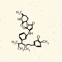 C=C1CCC(N2C(=O)C=C(Nc3cccc(C(C(C)C)N(C)CCc4ccc(C)c(Cl)c4)c3)C2=O)C(=O)N1